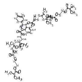 C=C(C)C(=O)OCCOC(=O)NCC(C)(C)CC(C)CCNC(=O)O/N=C(/c1ccccc1)C(OC(=O)NCCC(C)CC(C)(C)CNC(=O)OCCOC(=O)C(=C)C)c1ccccc1